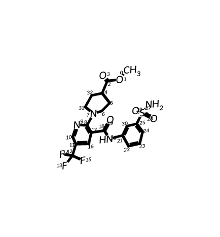 COC(=O)C1CCN(c2ncc(C(F)(F)F)cc2C(=O)Nc2cccc(S(N)(=O)=O)c2)CC1